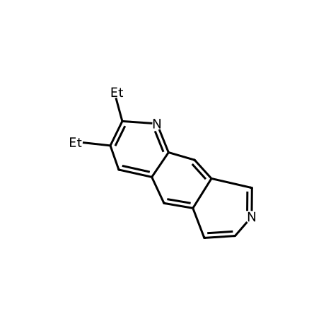 CCc1cc2cc3ccncc3cc2nc1CC